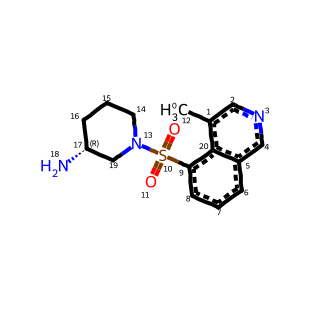 Cc1cncc2cccc(S(=O)(=O)N3CCC[C@@H](N)C3)c12